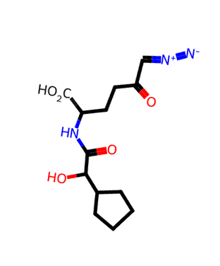 [N-]=[N+]=CC(=O)CCC(NC(=O)C(O)C1CCCC1)C(=O)O